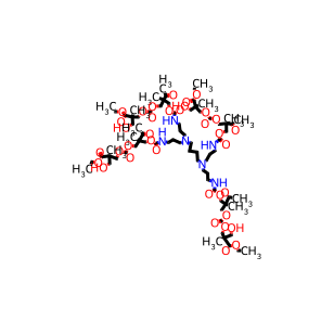 CCOC(=O)C(C)(CO)COC(=O)OCC(C)(COC(=O)NCCCN(CCCCN(CCCNC(=O)OCC(C)(COC(=O)OCC(C)(CO)C(=O)OCC)C(C)=O)CCCNC(=O)OCC(C)(COC(=O)OCC(C)(CO)C(=O)OCC)C(C)=O)CCCNC(=O)OCC(C)(COC(=O)OCC(C)(CO)C(=O)OCC)C(C)=O)C(C)=O